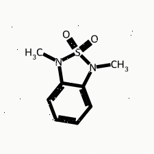 CN1c2c[c]ccc2N(C)S1(=O)=O